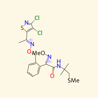 CO/N=C(/C(=O)NC(C)(C)CSC)c1ccccc1CO/N=C(\C)c1snc(Cl)c1Cl